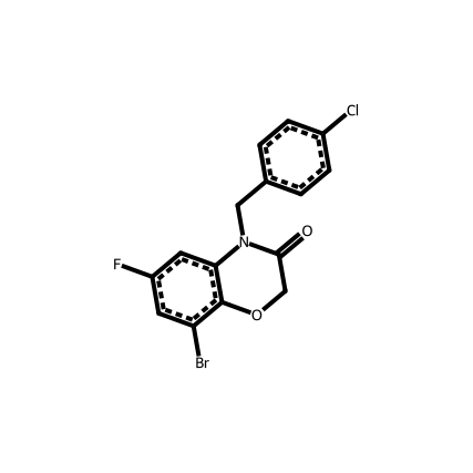 O=C1COc2c(Br)cc(F)cc2N1Cc1ccc(Cl)cc1